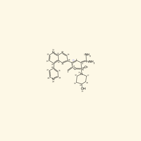 C=C/C(=C\C(=C(N)N)S(=O)(=O)N1CCC(O)CC1)c1ccc2nccc(-c3ccncc3)c2c1